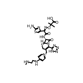 CNCCNc1cc[n+](CC2=C(c3nnn[nH]3)N3C(=O)[C@@H](NC(=O)/C(=N\OC(C)(C)C(=O)O)c4csc(N)n4)[C@H]3SC2)cc1